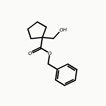 O=C(OCc1ccccc1)C1(CO)CCCC1